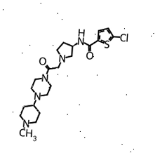 CN1CCC(N2CCN(C(=O)CN3CC[C@@H](NC(=O)c4ccc(Cl)s4)C3)CC2)CC1